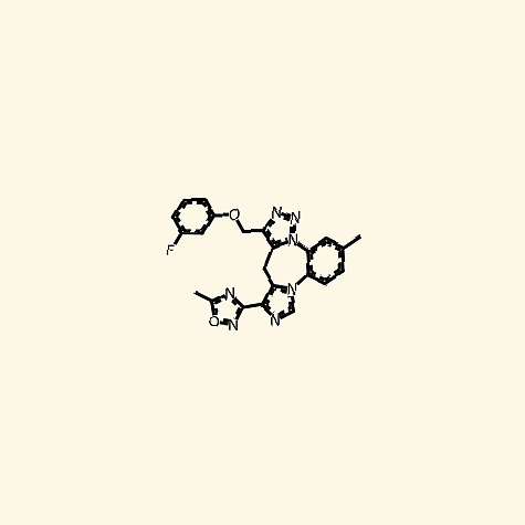 Cc1ccc2c(c1)-n1nnc(COc3cccc(F)c3)c1Cc1c(-c3noc(C)n3)ncn1-2